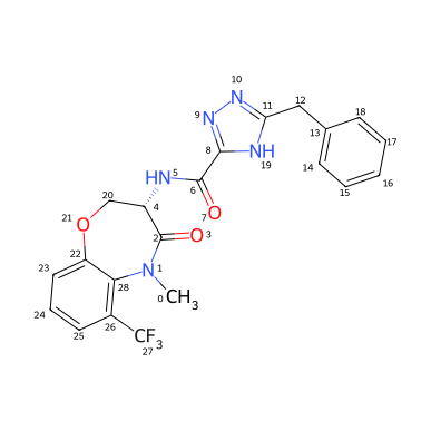 CN1C(=O)[C@@H](NC(=O)c2nnc(Cc3ccccc3)[nH]2)COc2cccc(C(F)(F)F)c21